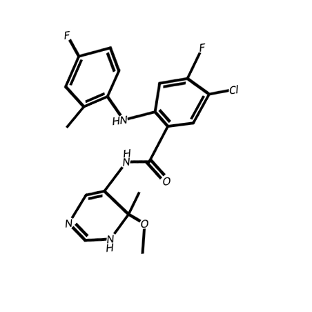 COC1(C)NC=NC=C1NC(=O)c1cc(Cl)c(F)cc1Nc1ccc(F)cc1C